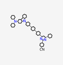 N#Cc1ccc(-c2nc(-c3ccccc3)cc(-c3ccc(-c4ccc(-c5ccc(-n6c7ccccc7c7cc(N(c8ccccc8)c8ccccc8)ccc76)cc5)cc4)cc3)n2)cc1